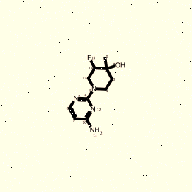 CC1(O)CCN(c2nccc(N)n2)CC1F